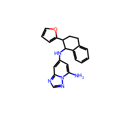 Nc1cc(NC2c3ccccc3CCC2c2ccco2)cc2ncnn12